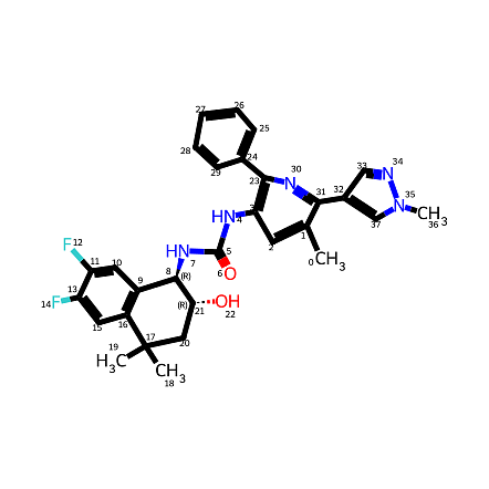 Cc1cc(NC(=O)N[C@@H]2c3cc(F)c(F)cc3C(C)(C)C[C@H]2O)c(-c2ccccc2)nc1-c1cnn(C)c1